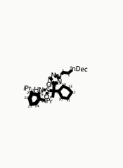 CCCCCCCCCCCCn1nnc(C(C)(C2CCCCC2)S(=O)(=O)Nc2c(C(C)C)cccc2C(C)C)n1